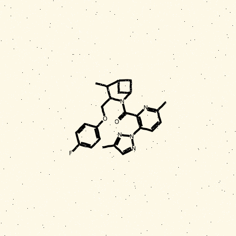 Cc1ccc(-n2ncc(C)n2)c(C(=O)N2C3CC(C3)C(C)C2COc2ccc(F)cc2)n1